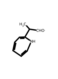 CC([C]=O)C1=CC=CC=CN1